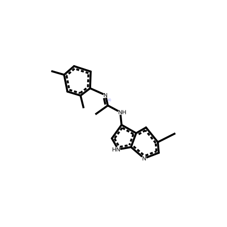 C/C(=N\c1ccc(C)cc1C)Nc1c[nH]c2ncc(C)cc12